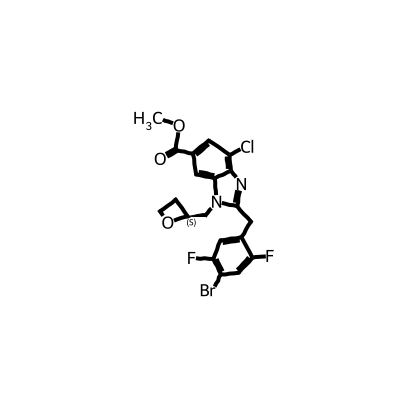 COC(=O)c1cc(Cl)c2nc(Cc3cc(F)c(Br)cc3F)n(C[C@@H]3CCO3)c2c1